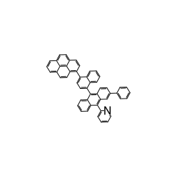 c1ccc(-c2ccc3c(-c4ccc(-c5ccc6ccc7cccc8ccc5c6c78)c5ccccc45)c4ccccc4c(-c4ccccn4)c3c2)cc1